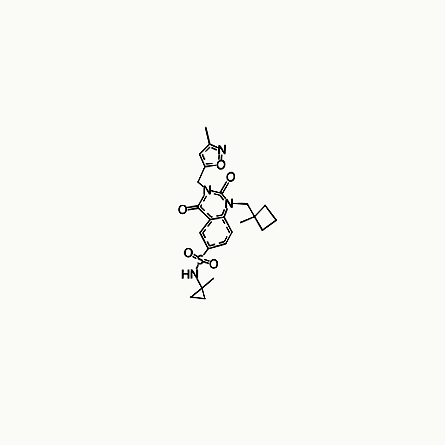 Cc1cc(Cn2c(=O)c3cc(S(=O)(=O)NC4(C)CC4)ccc3n(CC3(C)CCC3)c2=O)on1